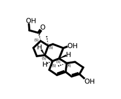 C[C@]12CC(O)[C@H]3[C@@H](CC=C4C=C(O)CC[C@@]43C)[C@@H]1CC[C@@H]2C(=O)CO